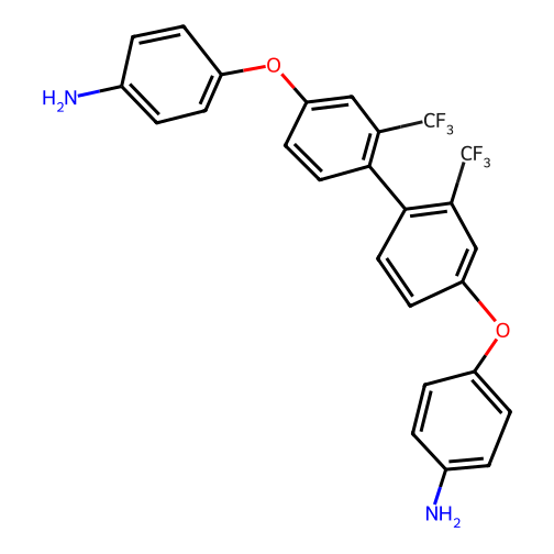 Nc1ccc(Oc2ccc(-c3ccc(Oc4ccc(N)cc4)cc3C(F)(F)F)c(C(F)(F)F)c2)cc1